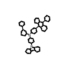 c1ccc(-c2cccc(N(c3ccc(-c4c5ccccc5c(-c5ccccc5)c5ccccc45)cc3)c3ccc(-n4c5ccccc5c5ccccc54)cc3)c2)cc1